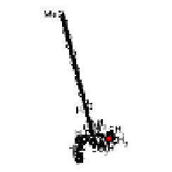 COCCOCCOCCOCCOCCOCCOCCOCCOCCOCCOCCOCC(=O)NCCCC[C@H](N)C(=O)N[C@@H](C)C(=O)NCCOC12CC3(C)CC(C)(CC(Cn4ncc(-c5ccc(N6CCc7cccc(C(=O)Nc8nc9ccccc9s8)c7C6)nc5C(=O)O)c4C)(C3)C1)C2